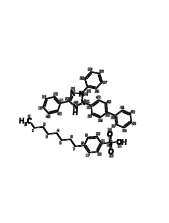 CCCCCCCCc1ccc(S(=O)(=O)O)cc1.c1ccc(C2=NN(c3ccccc3)N(c3ccc(-c4ccccc4)cc3)N2)cc1